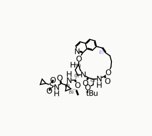 C=C[C@@H]1C[C@]1(NC(=O)[C@@H]1C[C@@H]2CN1C(=O)[C@H](COC(C)(C)C)NC(=O)OCCC/C=C/c1ccc3ccnc(c3c1)O2)C(=O)NS(=O)(=O)C1CC1